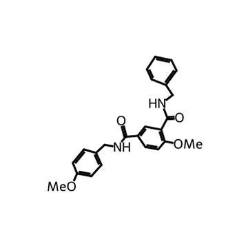 COc1ccc(CNC(=O)c2ccc(OC)c(C(=O)NCc3ccccc3)c2)cc1